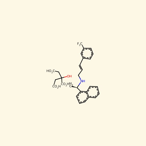 C[C@@H](NCC=Cc1cccc(C(F)(F)F)c1)c1cccc2ccccc12.O=C(O)CC(O)(CC(=O)O)C(=O)O